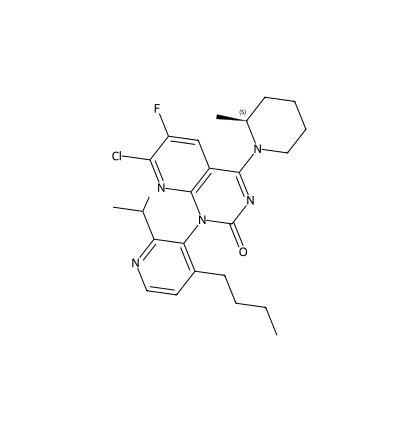 CCCCc1ccnc(C(C)C)c1-n1c(=O)nc(N2CCCC[C@@H]2C)c2cc(F)c(Cl)nc21